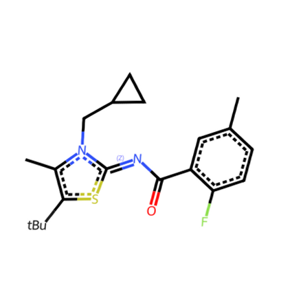 Cc1ccc(F)c(C(=O)/N=c2\sc(C(C)(C)C)c(C)n2CC2CC2)c1